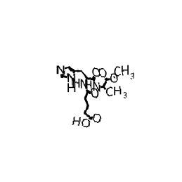 COC(=O)C(C)NC(=O)C(Cc1cnc[nH]1)NC(=O)CCCC(=O)O